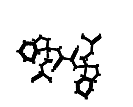 C=C(Cl)CN[C@@]1(OC(=O)C(=O)O[C@]2(NCC(=C)Cl)CCc3ccccc32)CCc2ccccc21